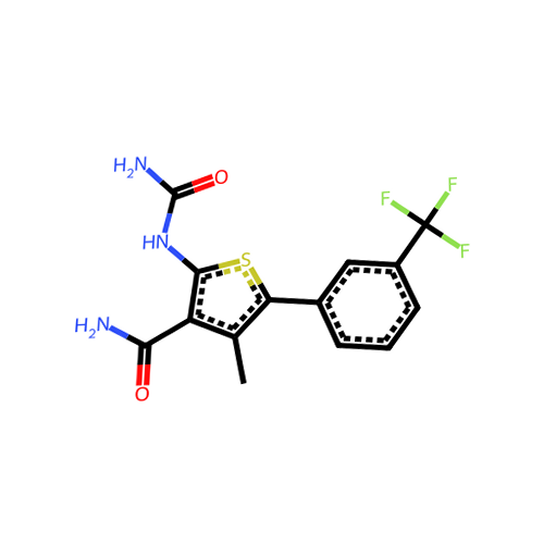 Cc1c(-c2cccc(C(F)(F)F)c2)sc(NC(N)=O)c1C(N)=O